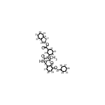 CC12CC(NC(=O)N1c1cccc(C(=O)OC3Cc4ccccc4C3)c1)c1cccc(OCc3ccccc3)c1O2